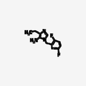 CCc1ncn(Cc2cc(F)ccc2F)c1N